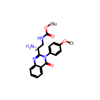 CCOc1ccc(-n2c([C@H](N)CNC(=O)OC(C)(C)C)nc3ccccc3c2=O)cc1